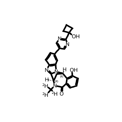 [2H]C([2H])([2H])N1C(=O)c2cccc(O)c2[C@H]2C[C@@H]1c1nc3ccc(-c4cnc(C5(O)CCC5)nc4)cc3n12